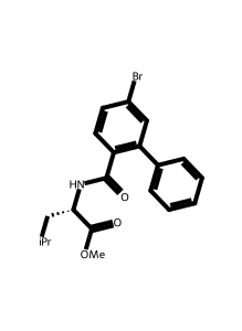 COC(=O)[C@H](CC(C)C)NC(=O)c1ccc(Br)cc1-c1ccccc1